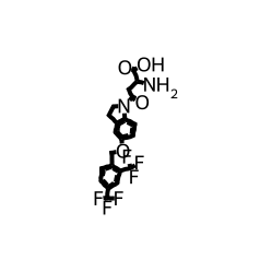 NC(CC(=O)N1CCc2cc(OCc3ccc(C(F)(F)F)cc3C(F)(F)F)ccc21)C(=O)O